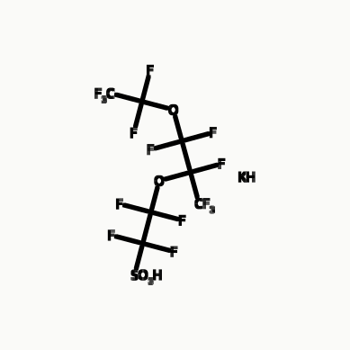 O=S(=O)(O)C(F)(F)C(F)(F)OC(F)(C(F)(F)F)C(F)(F)OC(F)(F)C(F)(F)F.[KH]